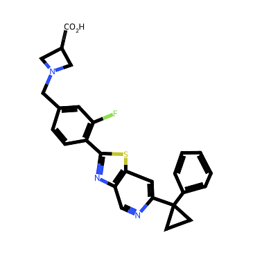 O=C(O)C1CN(Cc2ccc(-c3nc4cnc(C5(c6ccccc6)CC5)cc4s3)c(F)c2)C1